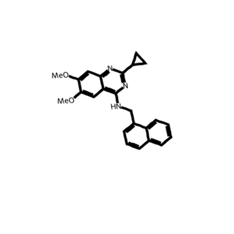 COc1cc2nc(C3CC3)nc(NCc3cccc4ccccc34)c2cc1OC